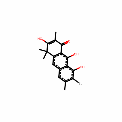 CCc1c(C)cc2cc3c(c(O)c2c1O)C(=O)C(C)=C(O)C3(C)C